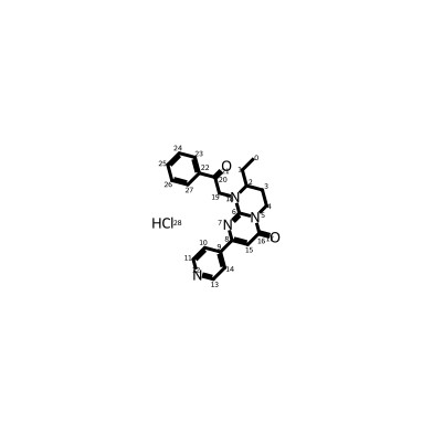 CCC1CCn2c(nc(-c3ccncc3)cc2=O)N1CC(=O)c1ccccc1.Cl